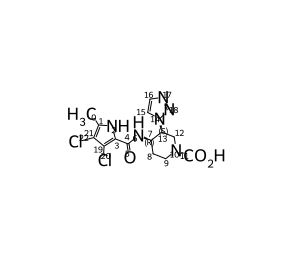 Cc1[nH]c(C(=O)N[C@@H]2CCN(C(=O)O)C[C@@H]2n2ccnn2)c(Cl)c1Cl